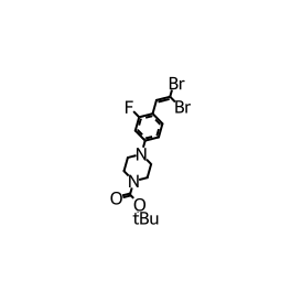 CC(C)(C)OC(=O)N1CCN(c2ccc(C=C(Br)Br)c(F)c2)CC1